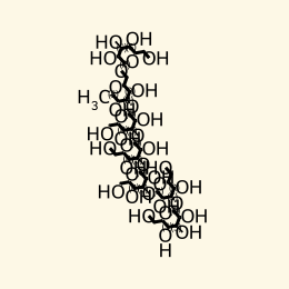 C[C@@H]1OC(CO[C@@H]2OC(CO)[C@@H](O)[C@H](O)C2O)[C@@H](O)[C@H](O[C@@H]2OC(CO)[C@@H](O)[C@H](O[C@@H]3OC(CO)[C@@H](O)[C@H](O[C@@H]4OC(CO)[C@@H](O)[C@H](O[C@@H]5OC(CO)[C@@H](O)[C@H](O[C@@H]6OC(CO)[C@@H](O)[C@H](O)C6O)C5O)C4O)C3O)C2O)C1O